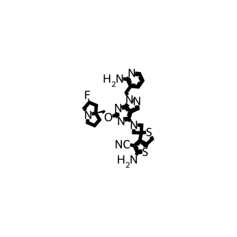 N#Cc1c(N)sc2c1C1(CN(c3nc(OC[C@@]45CCCN4C[C@H](F)C5)nc4c3cnn4Cc3cccnc3N)C1)SC2